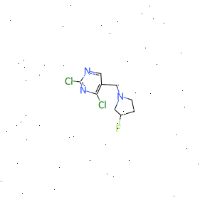 FC1CCN(Cc2cnc(Cl)nc2Cl)C1